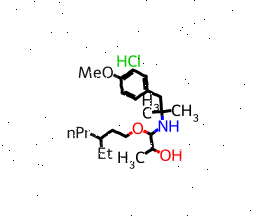 CCCC(CC)CCOC(NC(C)(C)Cc1ccc(OC)cc1)C(C)O.Cl